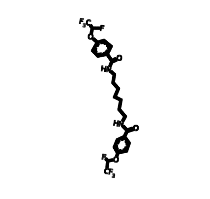 O=C(NCCCCCCCNC(=O)c1ccc(OC(F)C(F)(F)F)cc1)c1ccc(OC(F)C(F)(F)F)cc1